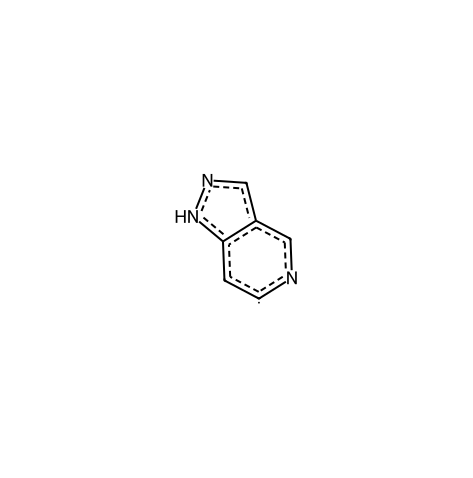 [c]1cc2[nH]ncc2cn1